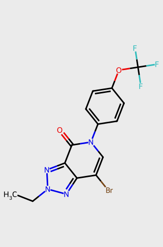 CCn1nc2c(Br)cn(-c3ccc(OC(F)(F)F)cc3)c(=O)c2n1